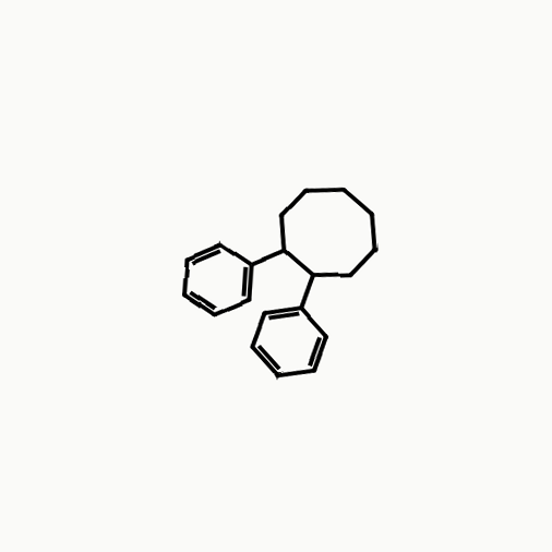 [c]1ccc(C2CCCCCCC2c2[c]cccc2)cc1